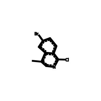 Cc1cnc(Cl)c2ccc(Br)cc12